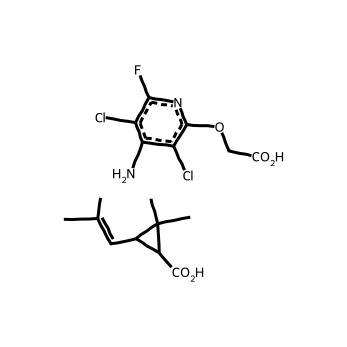 CC(C)=CC1C(C(=O)O)C1(C)C.Nc1c(Cl)c(F)nc(OCC(=O)O)c1Cl